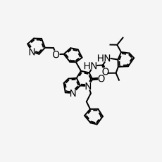 CC(C)c1cccc(C(C)C)c1NC(=O)Nc1c(-c2cccc(OCc3cccnc3)c2)c2cccnc2n(CCc2ccccc2)c1=O